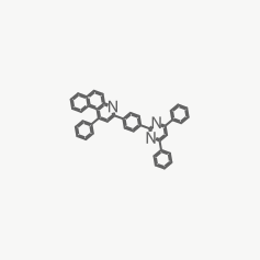 c1ccc(-c2cc(-c3ccccc3)nc(-c3ccc(-c4cc(-c5ccccc5)c5c(ccc6ccccc65)n4)cc3)n2)cc1